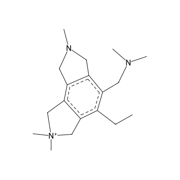 CCc1c(CN(C)C)c2c(c3c1C[N+](C)(C)C3)CN(C)C2